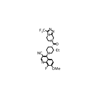 CC[C@@H]1CN(c2c(C#N)cnc3c(F)c(OC)ccc23)CC[C@@H]1C(=O)N1CCn2c(nnc2C(F)(F)F)C1